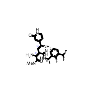 CNC(=O)/C(N)=C(/C=C(\N)c1cc[nH]c(=O)c1)C(=N)N[C@H](C)c1cccc(C(F)F)c1F